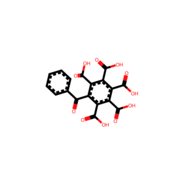 O=C(O)c1c(C(=O)O)c(C(=O)O)c(C(=O)c2ccccc2)c(C(=O)O)c1C(=O)O